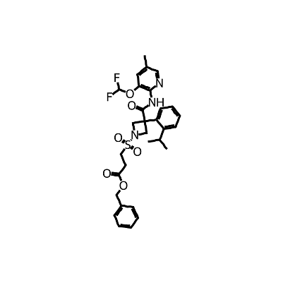 Cc1cnc(NC(=O)C2(c3ccccc3C(C)C)CN(S(=O)(=O)CCC(=O)OCc3ccccc3)C2)c(OC(F)F)c1